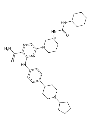 NC(=O)c1ncc(N2CCC[C@@H](NC(=O)NC3CCCCC3)C2)nc1Nc1ccc(C2CCN(C3CCCC3)CC2)cc1